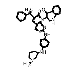 C=C(c1ccccc1)c1cc2cnc(Nc3ccc(NC4CCCN(C)C4)cc3)nc2n(C2CNc3ccccc3C2=O)c1=O